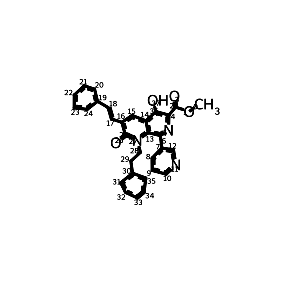 COC(=O)c1nc(-c2cccnc2)c2c(cc(C=Cc3ccccc3)c(=O)n2CCc2ccccc2)c1O